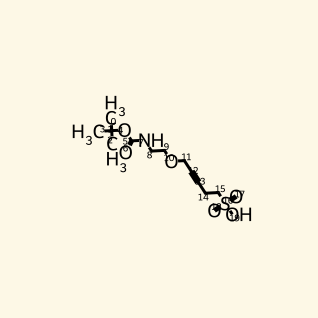 CC(C)(C)OC(=O)NCCOCC#CCCS(=O)(=O)O